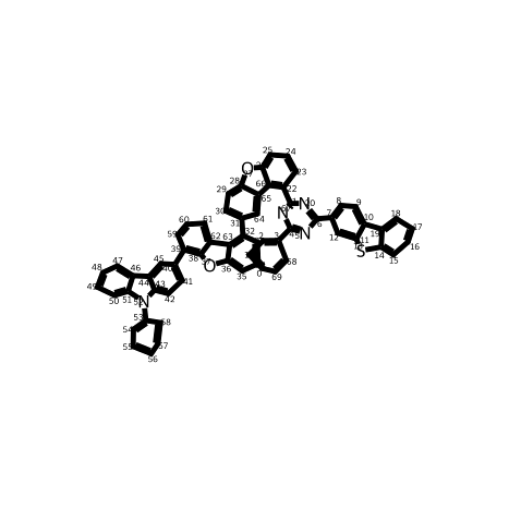 c1ccc(-c2nc(-c3ccc4c(c3)sc3ccccc34)nc(-c3cccc4oc5ccc(-c6cccc7oc8c(-c9ccc%10c(c9)c9ccccc9n%10-c9ccccc9)cccc8c67)cc5c34)n2)cc1